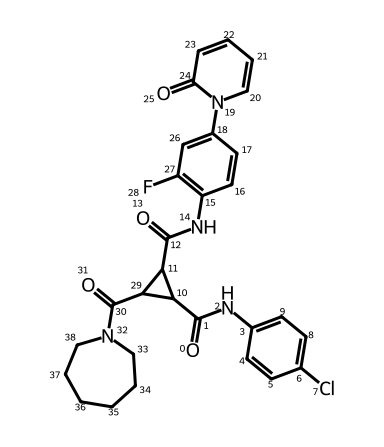 O=C(Nc1ccc(Cl)cc1)C1C(C(=O)Nc2ccc(-n3ccccc3=O)cc2F)C1C(=O)N1CCCCCC1